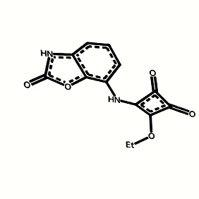 CCOc1c(Nc2cccc3[nH]c(=O)oc23)c(=O)c1=O